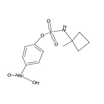 CC1(NS(=O)(=O)Oc2ccc([NH+]([O-])O)cc2)CCC1